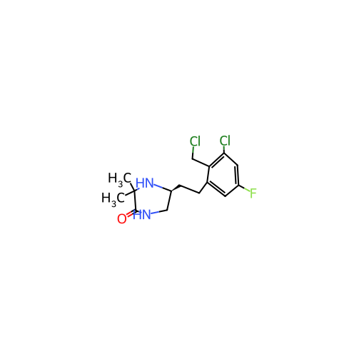 CC1(C)N[C@@H](CCc2cc(F)cc(Cl)c2CCl)CNC1=O